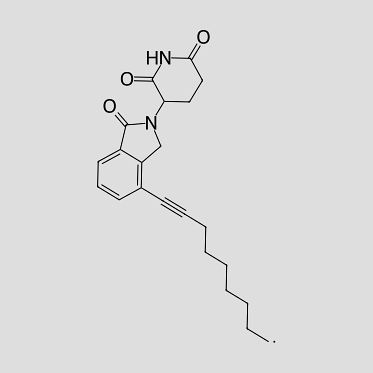 [CH2]CCCCCCC#Cc1cccc2c1CN(C1CCC(=O)NC1=O)C2=O